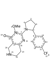 COn1c(N2CCCC2c2ccc(C(F)(F)F)cc2)nc2c(c1=O)CNCC2